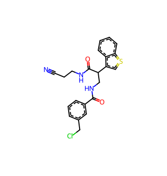 N#CCCNC(=O)C(CNC(=O)c1cccc(CCl)c1)c1csc2ccccc12